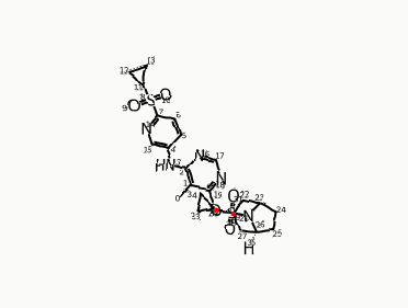 Cc1c(Nc2ccc(S(=O)(=O)C3CC3)nc2)ncnc1O[C@H]1CC2CC[C@@H](C1)N2S(=O)(=O)C1CC1